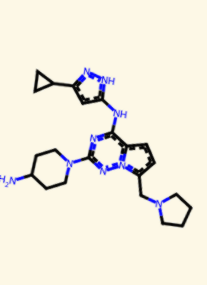 NC1CCN(c2nc(Nc3cc(C4CC4)n[nH]3)c3ccc(CN4CCCC4)n3n2)CC1